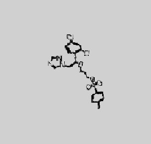 Cc1ccc(S(=O)(=O)OCCCOC(Cn2cncn2)c2ccc(Cl)cc2Cl)cc1